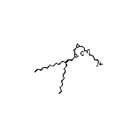 CCCCCCCCCCC(=CCC1CC1CC1CC1CC(=O)OCCCCN(C)C)CCCCCCCCCC